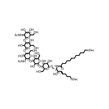 CCCCCCCCCCCCC/C=C/[C@@H](O)[C@H](CO[C@@H]1OC(CO)[C@@H](O[C@@H]2OC(CO)[C@H](O)[C@H](O[C@@H]3OC(CO)[C@@H](O[C@@H]4OC(CO)[C@H](O)[C@H](O[C@@H]5OC(CO)[C@@H](O)[C@H](O)C5NC(C)=O)C4O)[C@H](O)C3NC(C)=O)C2O)[C@H](O)C1O)NC(=O)CCCCCCCCCCCCCCCCCCCCC